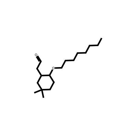 CCCCCCCCOC1CCC(C)(C)CC1CC=O